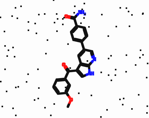 COc1cccc(C(=O)c2c[nH]c3ncc(-c4ccc(C(N)=O)cc4)cc23)c1